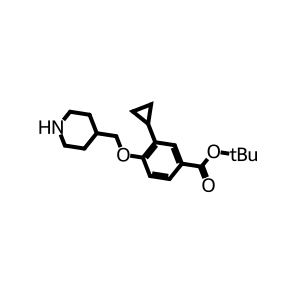 CC(C)(C)OC(=O)c1ccc(OCC2CCNCC2)c(C2CC2)c1